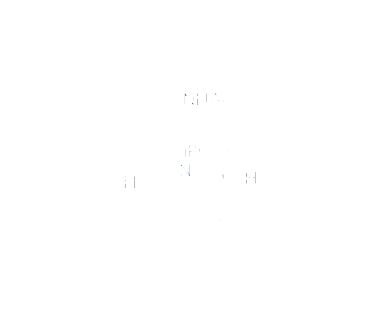 CC(=O)N[C@@H]1C[C@H]2CC[C@@H](C1)N2C(C)C